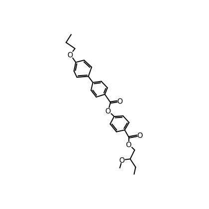 CCCOc1ccc(-c2ccc(C(=O)Oc3ccc(C(=O)OCC(CC)OC)cc3)cc2)cc1